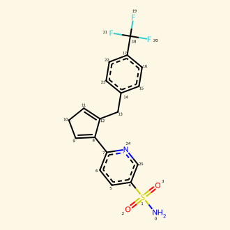 NS(=O)(=O)c1ccc(C2=CCC=C2Cc2ccc(C(F)(F)F)cc2)nc1